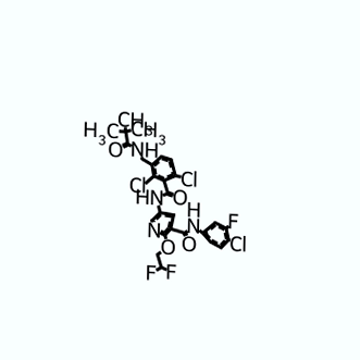 CC(C)(C)C(=O)NCc1ccc(Cl)c(C(=O)Nc2cnc(OCC(F)F)c(C(=O)Nc3ccc(Cl)c(F)c3)c2)c1Cl